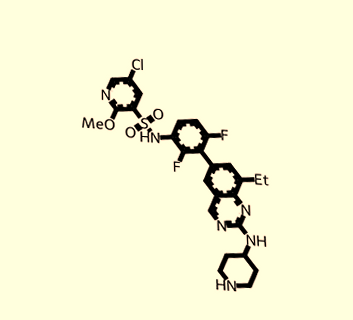 CCc1cc(-c2c(F)ccc(NS(=O)(=O)c3cc(Cl)cnc3OC)c2F)cc2cnc(NC3CCNCC3)nc12